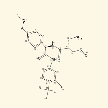 COCc1ccc([C@@H](NC(=O)[C@H](CN)CC=O)C(=O)Nc2ccc(C(C)(C)C)c(F)c2)cc1